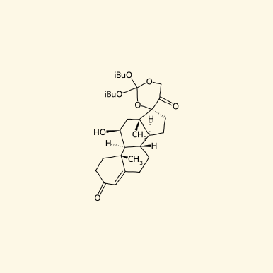 CC(C)COC1(OCC(C)C)OCC(=O)[C@]2(CC[C@H]3[C@@H]4CCC5=CC(=O)CC[C@]5(C)[C@H]4[C@@H](O)C[C@@]32C)O1